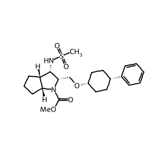 COC(=O)N1[C@@H]2CCC[C@@H]2[C@H](NS(C)(=O)=O)[C@@H]1CO[C@H]1CC[C@@H](c2ccccc2)CC1